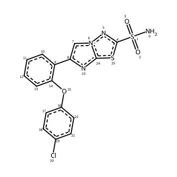 NS(=O)(=O)c1nn2cc(-c3ccccc3Oc3ccc(Cl)cc3)nc2s1